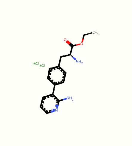 Cl.Cl.Nc1ncccc1-c1ccc(C[C@H](N)C(=O)OCC(F)(F)F)cc1